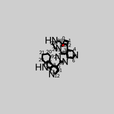 C1=CC(c2cncc3nc(-c4ccnc5[nH]c6c(c45)CCCC6)nc(N4CCNCC4)c23)=C1